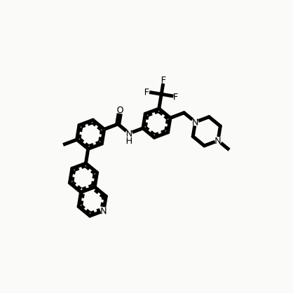 Cc1ccc(C(=O)Nc2ccc(CN3CCN(C)CC3)c(C(F)(F)F)c2)cc1-c1ccc2ccncc2c1